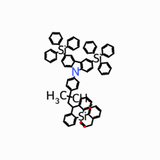 CC(C)(CC1c2ccccc2[Si]2(c3ccccc3Cc3ccccc32)c2ccccc21)c1ccc(-n2c3ccc([Si](c4ccccc4)(c4ccccc4)c4ccccc4)cc3c3cc([Si](c4ccccc4)(c4ccccc4)c4ccccc4)ccc32)cc1